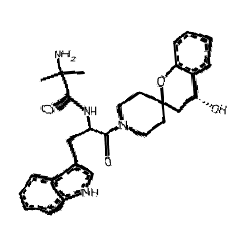 CC(C)(N)C(=O)NC(Cc1c[nH]c2ccccc12)C(=O)N1CCC2(CC1)C[C@@H](O)c1ccccc1O2